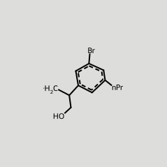 [CH2]C(CO)c1cc(Br)cc(CCC)c1